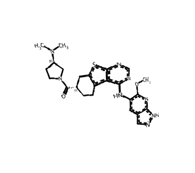 COc1nc2[nH]ncc2cc1Nc1ncnc2sc3c(c12)CC[C@H](C(=O)N1CC[C@@H](N(C)C)C1)C3